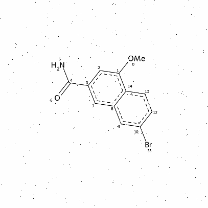 COc1cc(C(N)=O)cc2cc(Br)ccc12